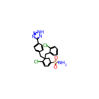 NS(=O)(=O)C1=CC=C(Cl)C(Cc2ccc(-c3nn[nH]n3)cc2)(Cc2ccccc2Cl)C1